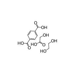 O=C(O)CO.O=C(O)c1ccc(C(=O)O)cc1.OCCO